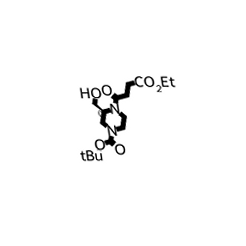 CCOC(=O)CCC(=O)N1CCN(C(=O)OC(C)(C)C)C[C@H]1CO